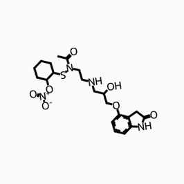 CC(=O)N(CCNCC(O)COc1cccc2c1CC(=O)N2)SC1CCCCC1O[N+](=O)[O-]